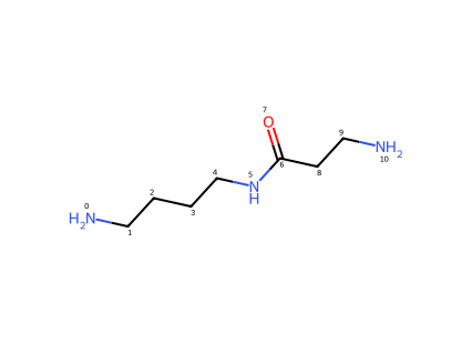 NCCCCNC(=O)CCN